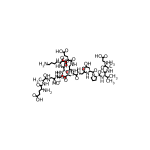 CC(C)C[C@H](NC(=O)[C@H](CCC(=O)O)NC(=O)[C@H](CCCCN)NC(=O)[C@H](C)NC(=O)[C@H](CO)NC(=O)CNC(=O)[C@H](C)NC(=O)[C@@H](N)CCC(=O)O)C(=O)N[C@@H](CCC(=O)O)C(=O)NCC(=O)N[C@@H](CC(=O)O)C(=O)N1CCC[C@H]1C(=O)N[C@H](C(=O)N[C@@H](C)C(=O)NCC(=O)O)C(C)C